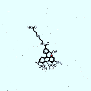 C/N=c1\ccc2c(-c3ccc(C(=O)NCCSSCCC(=O)O)cc3C(=O)O)c3ccc(N)c(S(=O)(=O)O)c3oc-2c1S(=O)(=O)O